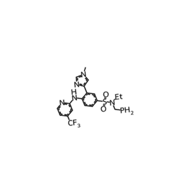 CCN(CP)S(=O)(=O)c1ccc(Nc2cc(C(F)(F)F)ccn2)c(-c2cn(C)cn2)c1